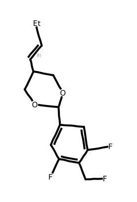 CC/C=C/C1COC(c2cc(F)c(CF)c(F)c2)OC1